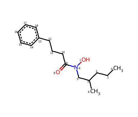 CCCC(C)CN(O)C(=O)CCCc1ccccc1